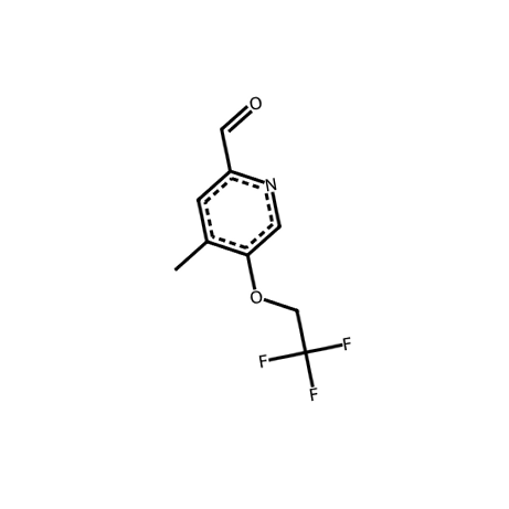 Cc1cc(C=O)ncc1OCC(F)(F)F